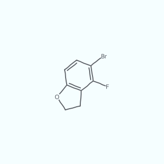 Fc1c(Br)ccc2c1CCO2